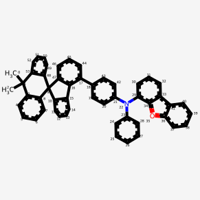 CC1(C)c2ccccc2C2(c3ccccc3-c3c(-c4ccc(N(c5ccccc5)c5cccc6c5oc5ccccc56)cc4)cccc32)c2ccccc21